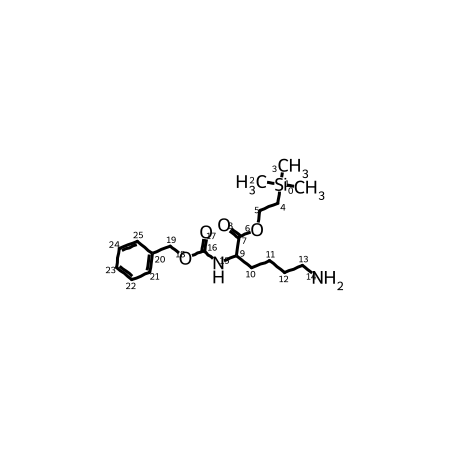 C[Si](C)(C)CCOC(=O)C(CCCCN)NC(=O)OCc1ccccc1